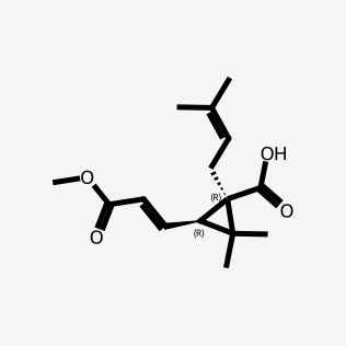 COC(=O)C=C[C@@H]1C(C)(C)[C@]1(CC=C(C)C)C(=O)O